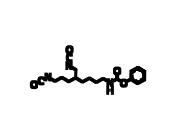 O=C=NCCCC(CCCCNC(=O)Oc1ccccc1)CN=C=O